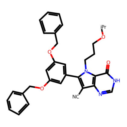 CC(C)OCCCn1c(-c2cc(OCc3ccccc3)cc(OCc3ccccc3)c2)c(C#N)c2nc[nH]c(=O)c21